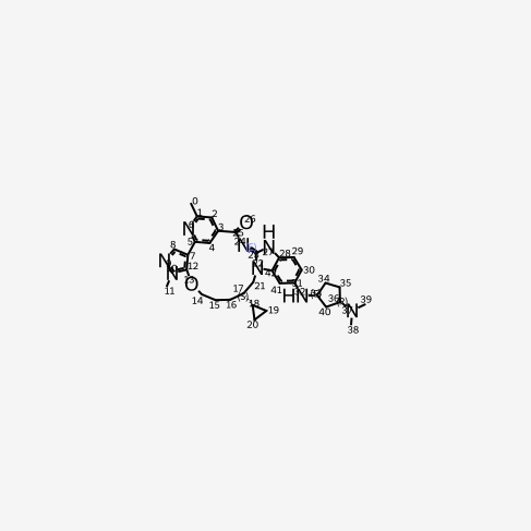 Cc1cc2cc(n1)-c1cnn(C)c1OCCC[C@@H](C1CC1)CN1/C(=N/C2=O)Nc2ccc(N[C@H]3CC[C@@H](N(C)C)C3)cc21